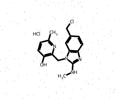 CNc1nc2ccc(CCl)cc2n1Cc1nc(C)ccc1O.Cl